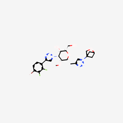 CO[C@@H]1[C@@H](n2cc(-c3ccc(Br)c(F)c3F)nn2)[C@@H](O)[C@@H](CO)O[C@@H]1Cc1cn(C23COC(C2)C3)nn1